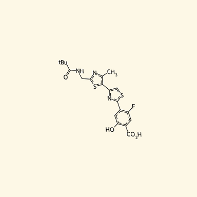 Cc1nc(CNC(=O)C(C)(C)C)sc1-c1csc(-c2cc(O)c(C(=O)O)cc2F)n1